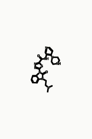 CN(C)CCn1c(=O)n(-c2nnc(C(=O)Nc3cnccc3N3CCNCC3)s2)c2ccccc21